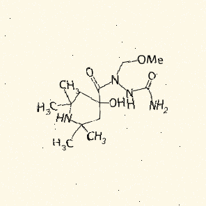 COCN(NC(N)=O)C(=O)C1(O)CC(C)(C)NC(C)(C)C1